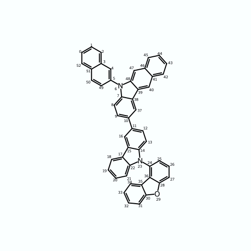 c1ccc2cc(-n3c4ccc(-c5ccc6c(c5)c5ccccc5n6-c5cccc6oc7ccccc7c56)cc4c4cc5ccccc5cc43)ccc2c1